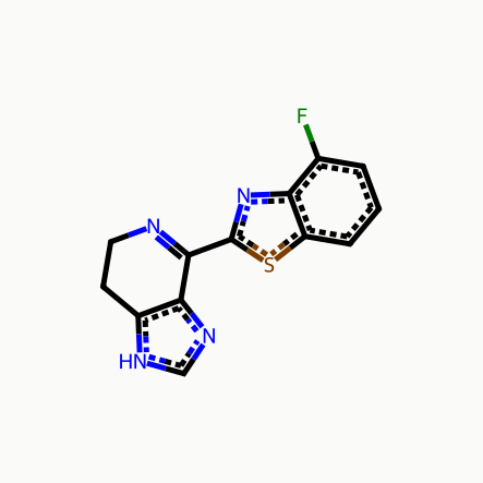 Fc1cccc2sc(C3=NCCc4[nH]cnc43)nc12